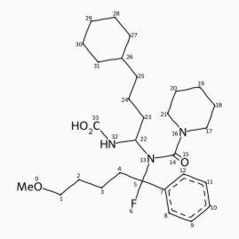 COCCCCC(F)(c1ccccc1)N(C(=O)N1CCCCC1)C(CCCC1CCCCC1)NC(=O)O